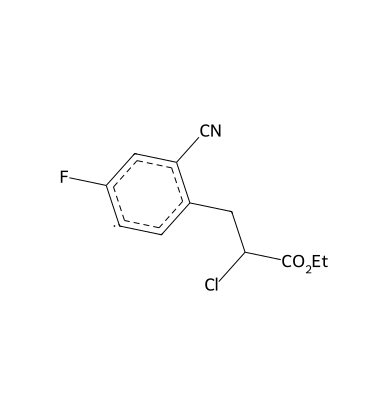 CCOC(=O)C(Cl)Cc1c[c]c(F)cc1C#N